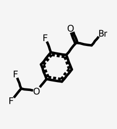 O=C(CBr)c1ccc(OC(F)F)cc1F